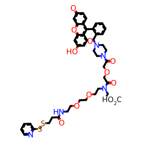 O=C(O)CN(CCOCCOCCNC(=O)CCSSc1ccccn1)C(=O)COCC(=O)N1CCN(C(=O)c2ccccc2-c2c3ccc(=O)cc-3oc3cc(O)ccc23)CC1